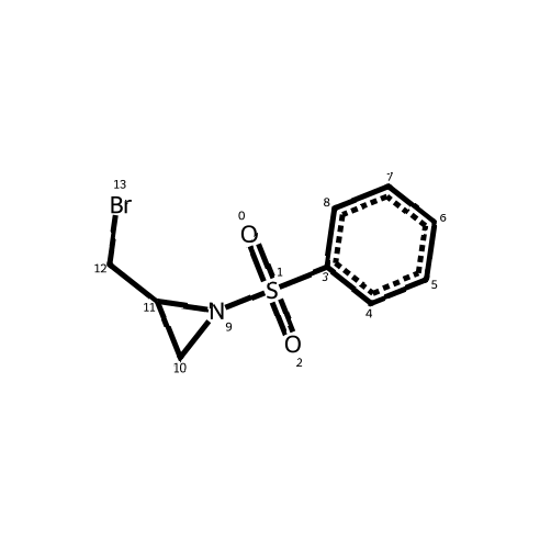 O=S(=O)(c1ccccc1)N1CC1CBr